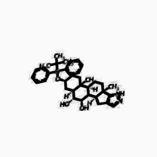 CC(C)(C)[Si](O[C@H]1CC[C@@]2(C)[C@H](C1)[C@@H](O)[C@H](O)C1[C@@H]2CC[C@]2(C)c3[nH]ncc3C[C@@H]12)(c1ccccc1)c1ccccc1